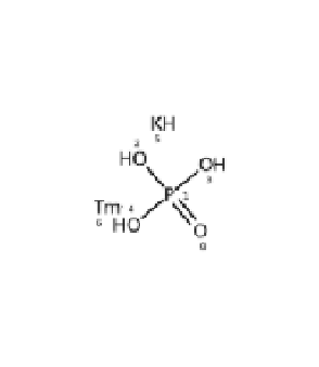 O=P(O)(O)O.[KH].[Tm]